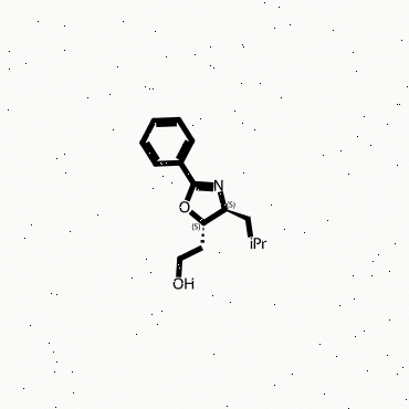 CC(C)C[C@@H]1N=C(c2ccccc2)O[C@H]1CCO